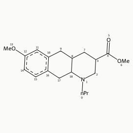 CCCN1CC(C(=O)OC)CC2Cc3cc(OC)ccc3CC21